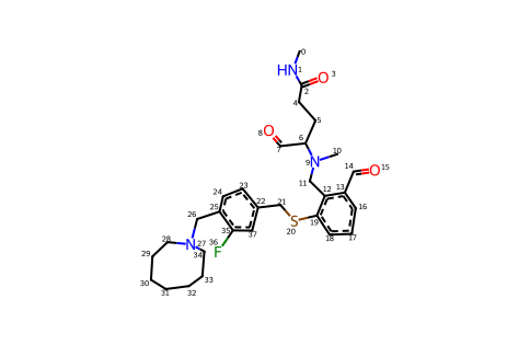 CNC(=O)CCC(C=O)N(C)Cc1c(C=O)cccc1SCc1ccc(CN2CCCCCCC2)c(F)c1